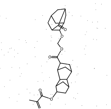 C=C(C)C(=O)OC1CC2CC1C1C3CC(CC3C(=O)OCOC3C4CC5CC(C4)C(=O)C3C5)C21